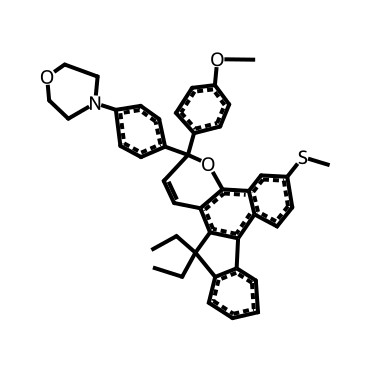 CCC1(CC)c2ccccc2-c2c1c1c(c3cc(SC)ccc23)OC(c2ccc(OC)cc2)(c2ccc(N3CCOCC3)cc2)C=C1